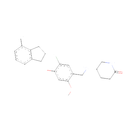 CCOc1cc(O[C@H]2CCc3c(C)cccc32)c(Cl)cc1CN[C@H]1CCC(=O)NC1